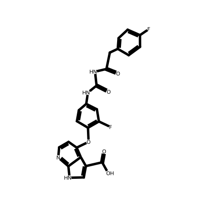 O=C(Cc1ccc(F)cc1)NC(=O)Nc1ccc(Oc2ccnc3[nH]cc(C(=O)O)c23)c(F)c1